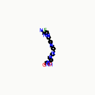 N#Cc1c[nH]c2c(N3CCC(c4ccc(N5CC6(CCC(CN7CCC(n8ccc9c(N%10CCC(=O)NC%10=O)cccc98)CC7)CC6)C5)cc4)CC3)ccc(F)c12